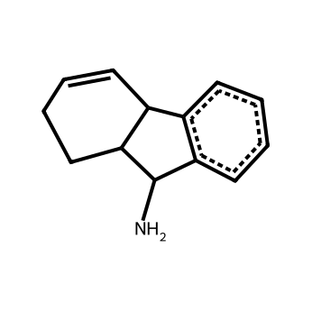 NC1c2ccccc2C2C=CCCC12